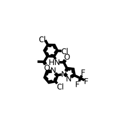 CC(=O)c1cc(Cl)cc(Cl)c1NC(=O)c1cc(C(F)(F)F)nn1-c1ncccc1Cl